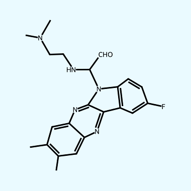 Cc1cc2nc3c4cc(F)ccc4n(C(C=O)NCCN(C)C)c3nc2cc1C